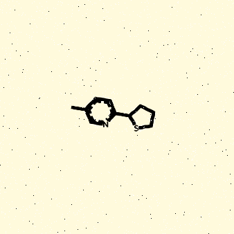 Cc1ccc(C2CCCS2)nc1